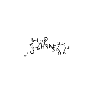 CCOc1cccc(C(=O)NNSc2ccccc2)c1